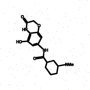 CNC1CCCC(C(=O)Nc2cc(O)c3c(c2)OCC(=O)N3)C1